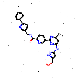 Cc1cc(Nc2cc(CO)[nH]n2)nc(-c2ccc(C(=O)NCc3ccc(-c4ccccc4)nc3)nc2)n1